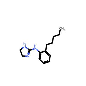 CCCCCc1ccccc1NC1=NCCN1